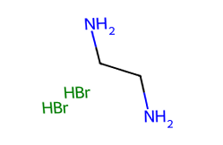 Br.Br.NCCN